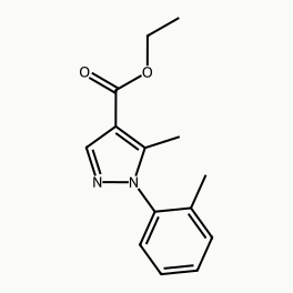 CCOC(=O)c1cnn(-c2ccccc2C)c1C